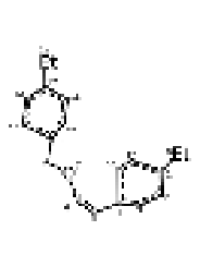 CCc1ccc(/[C]=N\OCc2ccc(CC)cc2)cc1